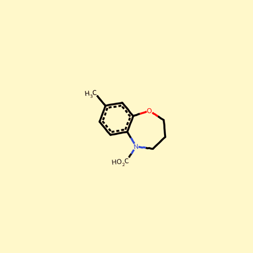 Cc1ccc2c(c1)OCCCN2C(=O)O